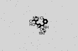 CC(C)(C)OC(=O)N[C@H](c1cccc(Cl)c1)c1csc([C@H](O)c2cncnc2Cl)c1